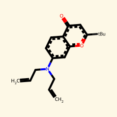 C=CCN(CC=C)c1ccc2c(=O)cc(C(C)(C)C)oc2c1